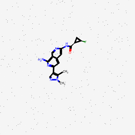 Cc1c(-c2cc3cc(NC(=O)[C@H]4C[C@H]4F)ncc3c(N)n2)cnn1C